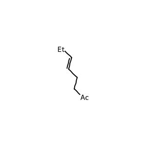 CCC=CCCC(C)=O